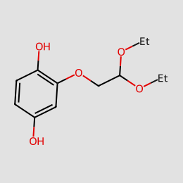 CCOC(COc1cc(O)ccc1O)OCC